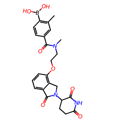 Cc1cc(C(=O)N(C)CCOc2cccc3c2CN(C2CCC(=O)NC2=O)C3=O)ccc1B(O)O